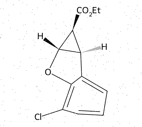 CCOC(=O)[C@@H]1[C@H]2Oc3c(Cl)cccc3[C@@H]21